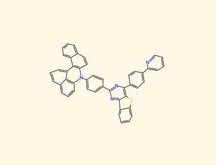 c1ccc(-c2ccc(-c3nc(-c4ccc(N5c6ccc7ccccc7c6-c6cccc7cccc5c67)cc4)nc4c3sc3ccccc34)cc2)nc1